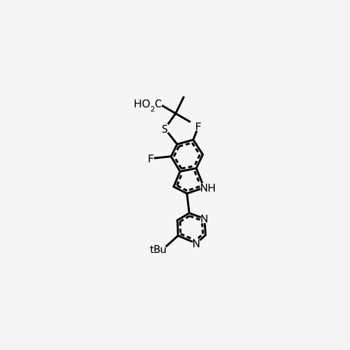 CC(C)(Sc1c(F)cc2[nH]c(-c3cc(C(C)(C)C)ncn3)cc2c1F)C(=O)O